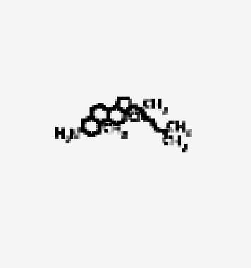 CC(C)CCC[C@@H](C)[C@H]1CCC2C3CCC4C[C@@H](N)CC[C@]4(C)C3CCC21C